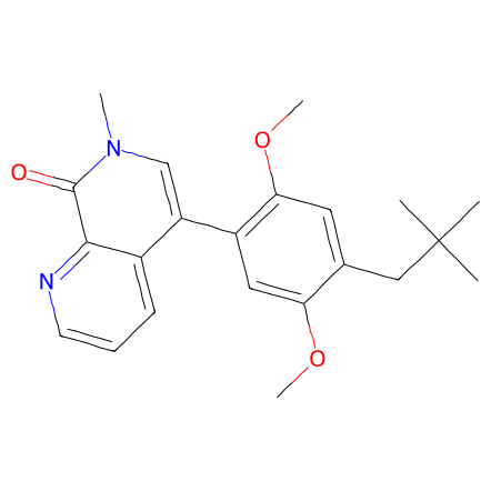 COc1cc(-c2cn(C)c(=O)c3ncccc23)c(OC)cc1CC(C)(C)C